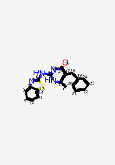 Cc1[nH]c(Nc2nc3ccccc3s2)nc(=O)c1Cc1ccccc1